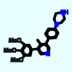 COc1cc(-c2cncc(-c3ccc(N4CCNCC4)cc3)c2C)cc(OC)c1OC